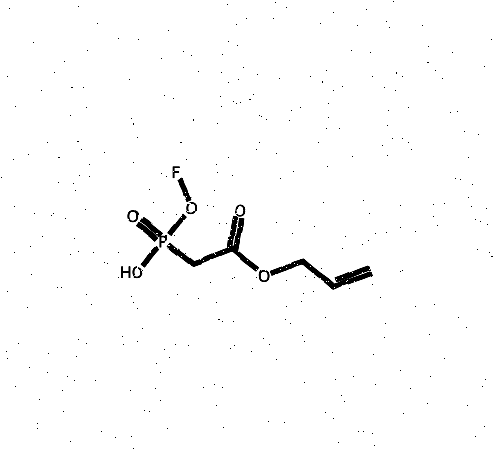 C=CCOC(=O)CP(=O)(O)OF